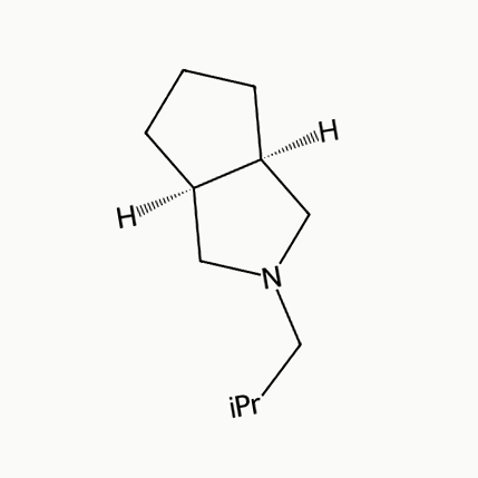 CC(C)CN1C[C@H]2CCC[C@H]2C1